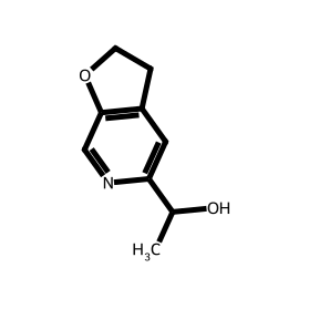 CC(O)c1cc2c(cn1)OCC2